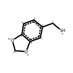 SCc1ccc2c(c1)OCO2